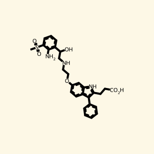 CS(=O)(=O)c1cccc(C(O)CNCCOc2ccc3c(-c4ccccc4)c(CCC(=O)O)[nH]c3c2)c1N